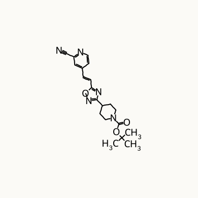 CC(C)(C)OC(=O)N1CCC(c2noc(/C=C/c3ccnc(C#N)c3)n2)CC1